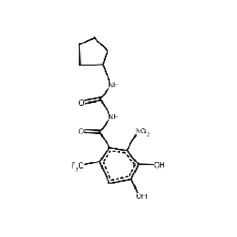 O=C(NC(=O)c1c(C(F)(F)F)cc(O)c(O)c1[N+](=O)[O-])NC1CCCC1